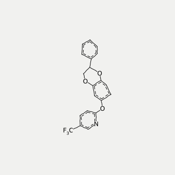 FC(F)(F)c1ccc(Oc2ccc3c(c2)OCC(c2ccccc2)O3)nc1